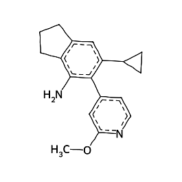 COc1cc(-c2c(C3CC3)cc3c(c2N)CCC3)ccn1